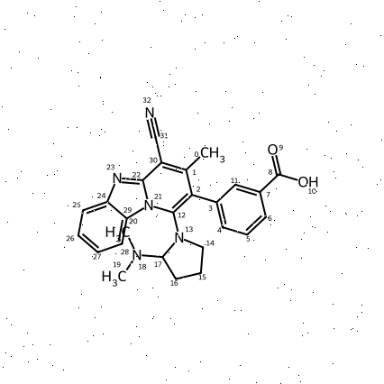 Cc1c(-c2cccc(C(=O)O)c2)c(N2CCCC2N(C)C)n2c(nc3ccccc32)c1C#N